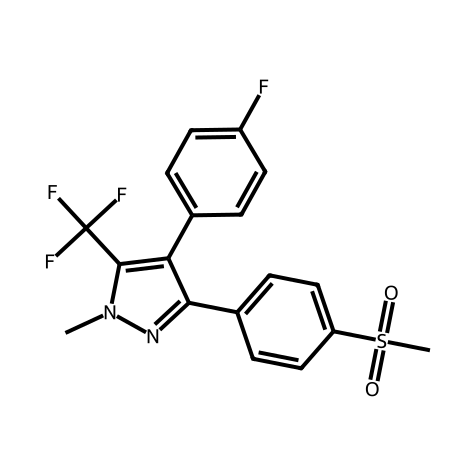 Cn1nc(-c2ccc(S(C)(=O)=O)cc2)c(-c2ccc(F)cc2)c1C(F)(F)F